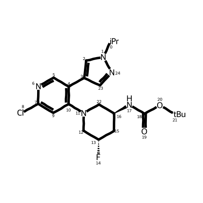 CC(C)n1cc(-c2cnc(Cl)cc2N2C[C@@H](F)C[C@H](NC(=O)OC(C)(C)C)C2)cn1